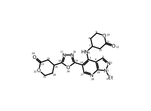 CCn1ncc2c(NC3CCOC(=O)C3)c(-c3nnc(C4CCOC(=O)C4)o3)cnc21